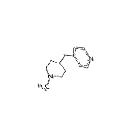 CN1CCC([CH]c2ccncc2)CC1